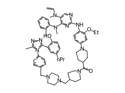 C=CN(C)c1cnc(Nc2ccc(N3CCC(C(=O)N4CCC(CN5CCN(Cc6ccc(-n7c(C)nnc7-c7cc(CCC)ccc7O)cc6)CC5)CC4)CC3)cc2OCC)nc1N(C)c1ccccc1C